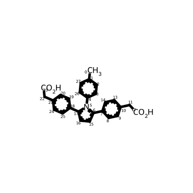 Cc1ccc(-n2c(-c3ccc(CC(=O)O)cc3)ccc2-c2ccc(CC(=O)O)cc2)cc1